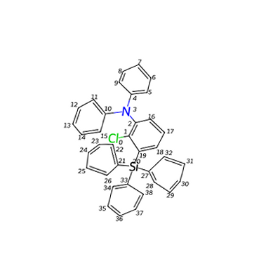 Clc1c(N(c2ccccc2)c2ccccc2)cccc1[Si](c1ccccc1)(c1ccccc1)c1ccccc1